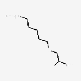 [CH2]CCC(O)COCCCCCCCCCCCC